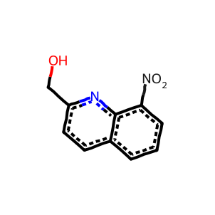 O=[N+]([O-])c1cccc2ccc(CO)nc12